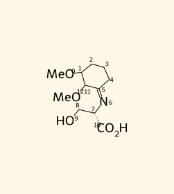 COC1CCC/C(=N/[C@@H](CO)C(=O)O)C1OC